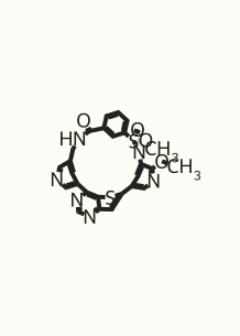 COc1ncc2cc1N(C)S(=O)(=O)c1cccc(c1)C(=O)NCc1cncc(c1)-c1ncnc3cc-2sc13